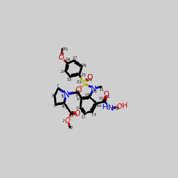 COC(=O)C1CCCN1Cc1cccc(C(=O)NO)c1N(C)S(=O)(=O)c1ccc(OC)cc1